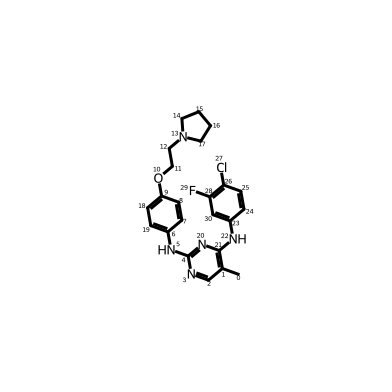 Cc1cnc(Nc2ccc(OCCN3CCCC3)cc2)nc1Nc1ccc(Cl)c(F)c1